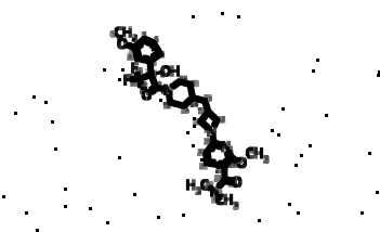 COc1cccc([C@@](O)(C(=O)N2CCC(CC3CN(c4ccc(C(=O)N(C)C)c(OC)n4)C3)CC2)C(F)(F)F)c1